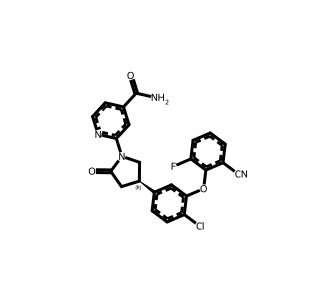 N#Cc1cccc(F)c1Oc1cc([C@H]2CC(=O)N(c3cc(C(N)=O)ccn3)C2)ccc1Cl